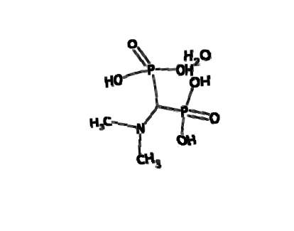 CN(C)C(P(=O)(O)O)P(=O)(O)O.O